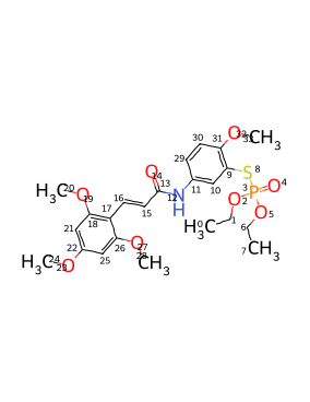 CCOP(=O)(OCC)Sc1cc(NC(=O)/C=C/c2c(OC)cc(OC)cc2OC)ccc1OC